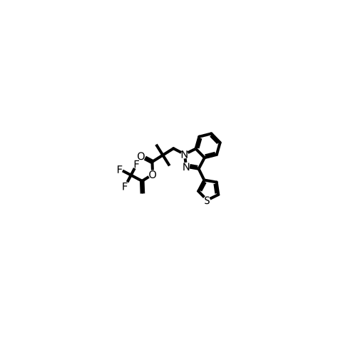 C=C(OC(=O)C(C)(C)Cn1nc(-c2ccsc2)c2ccccc21)C(F)(F)F